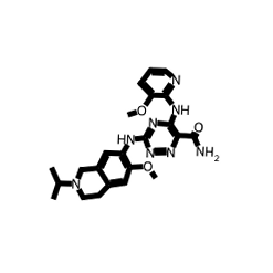 COc1cc2c(cc1Nc1nnc(C(N)=O)c(Nc3ncccc3OC)n1)CN(C(C)C)CC2